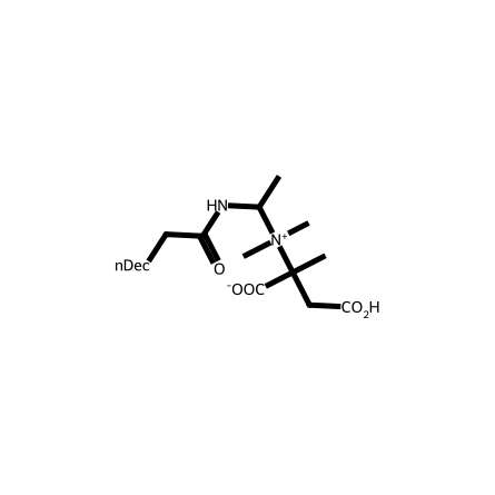 CCCCCCCCCCCC(=O)NC(C)[N+](C)(C)C(C)(CC(=O)O)C(=O)[O-]